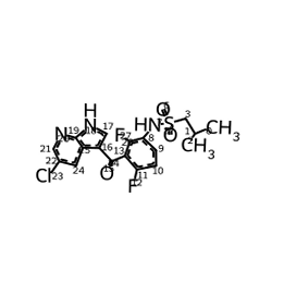 CC(C)CS(=O)(=O)Nc1ccc(F)c(C(=O)c2c[nH]c3ncc(Cl)cc23)c1F